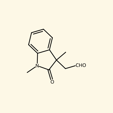 CN1C(=O)C(C)(CC=O)c2ccccc21